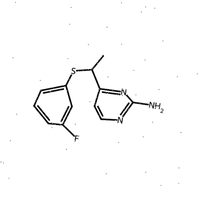 CC(Sc1cccc(F)c1)c1ccnc(N)n1